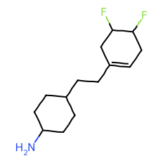 NC1CCC(CCC2=CCC(F)C(F)C2)CC1